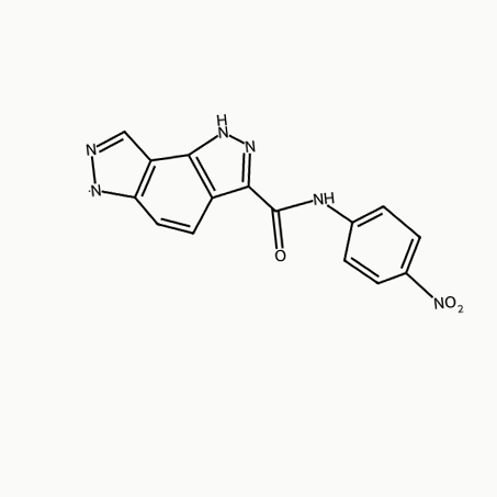 O=C(Nc1ccc([N+](=O)[O-])cc1)c1n[nH]c2c3c(ccc12)[N]N=C3